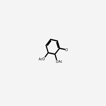 CC(=O)OC1C=CC=C(Cl)C1OC(C)=O